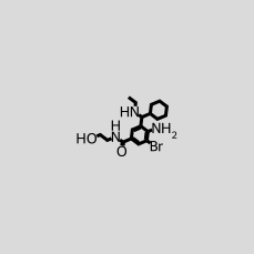 CCNC(c1cc(C(=O)NCCO)cc(Br)c1N)C1CCCCC1